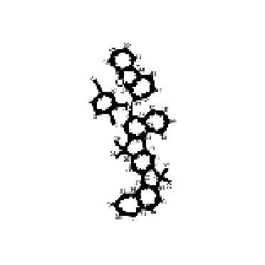 Cc1ccc(C)c(N(c2cc3c(c4ccccc24)-c2cc4c(cc2C3(C)C)-c2c(ccc3ccccc23)C4(C)C)c2cccc3c2oc2ccccc23)c1